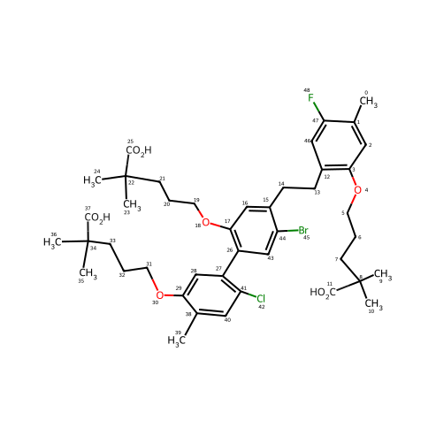 Cc1cc(OCCCC(C)(C)C(=O)O)c(CCc2cc(OCCCC(C)(C)C(=O)O)c(-c3cc(OCCCC(C)(C)C(=O)O)c(C)cc3Cl)cc2Br)cc1F